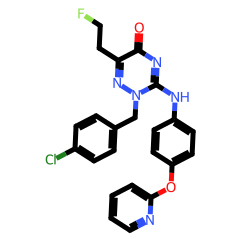 O=c1nc(Nc2ccc(Oc3ccccn3)cc2)n(Cc2ccc(Cl)cc2)nc1CCF